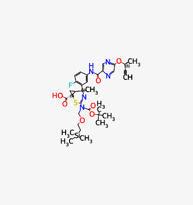 C#C[C@H](C)Oc1cnc(C(=O)Nc2ccc(F)c([C@@]3(C)N=C(N(COCC[Si](C)(C)C)C(=O)OC(C)(C)C)S[C@@]4(C(=O)O)CC43)c2)cn1